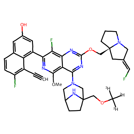 [2H]C([2H])([2H])OCC12CCC(CN(c3nc(OC[C@@]45CCCN4C/C(=C/F)C5)nc4c(F)c(-c5cc(O)cc6ccc(F)c(C#C)c56)nc(OC)c34)C1)N2